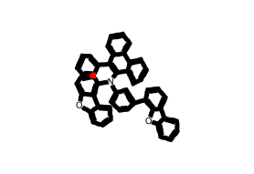 c1ccc(-c2c(N(c3cccc(-c4cccc5c4oc4ccccc45)c3)c3cccc4oc5ccccc5c34)c3ccccc3c3ccccc23)cc1